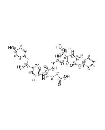 C[C@H](NC(=O)[C@@H](N)Cc1ccc(O)cc1)C(=O)N[C@@H](CCC(=O)O)C(=O)NCC(=O)N[C@H](C(=O)N[C@@H](Cc1ccccc1)C(=O)O)[C@@H](C)O